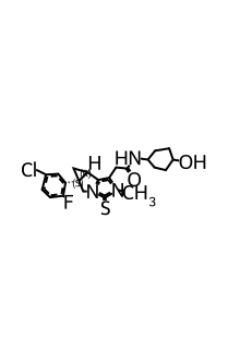 Cn1c(CC(=O)NC2CCC(O)CC2)c2n(c1=S)C[C@@]1(c3cc(Cl)ccc3F)C[C@@H]21